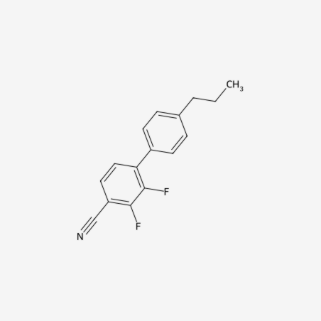 CCCc1ccc(-c2ccc(C#N)c(F)c2F)cc1